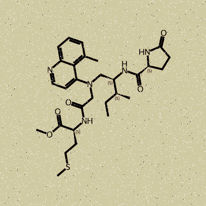 CC[C@H](C)[C@@H](CN(CC(=O)N[C@@H](CCSC)C(=O)OC)c1ccnc2cccc(C)c12)NC(=O)[C@@H]1CCC(=O)N1